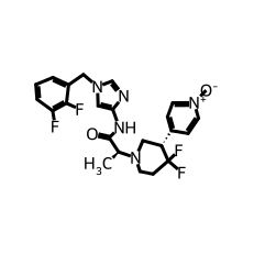 C[C@@H](C(=O)Nc1cn(Cc2cccc(F)c2F)cn1)N1CCC(F)(F)[C@@H](c2cc[n+]([O-])cc2)C1